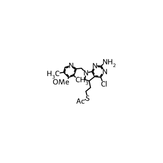 COc1c(C)cnc(CN2CC(CCSC(C)=O)c3c(Cl)nc(N)nc32)c1C